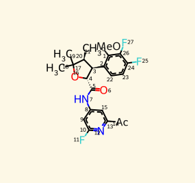 COc1c([C@H]2[C@H](C(=O)Nc3cc(F)nc(C(C)=O)c3)OC(C)(C)[C@H]2C)ccc(F)c1F